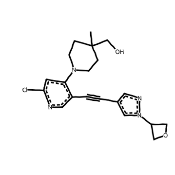 CC1(CO)CCN(c2cc(Cl)ncc2C#Cc2cnn(C3COC3)c2)CC1